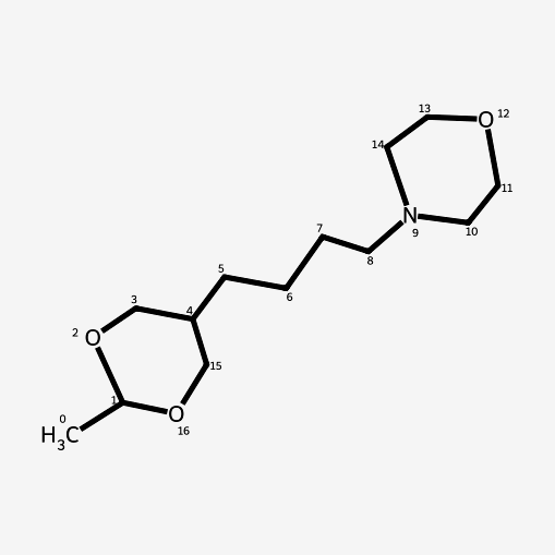 CC1OCC(CCCCN2CCOCC2)CO1